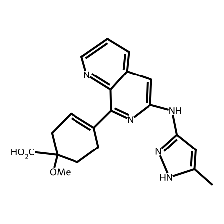 COC1(C(=O)O)CC=C(c2nc(Nc3cc(C)[nH]n3)cc3cccnc23)CC1